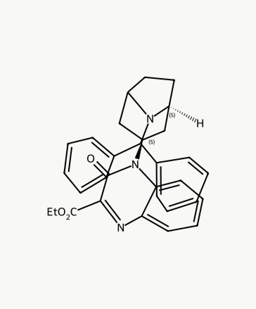 CCOC(=O)c1nc2ccccc2n([C@H]2CC3CC[C@@H](C2)N3C(c2ccccc2)c2ccccc2)c1=O